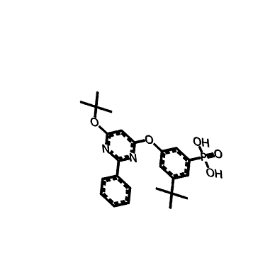 CC(C)(C)Oc1cc(Oc2cc(C(C)(C)C)cc(P(=O)(O)O)c2)nc(-c2ccccc2)n1